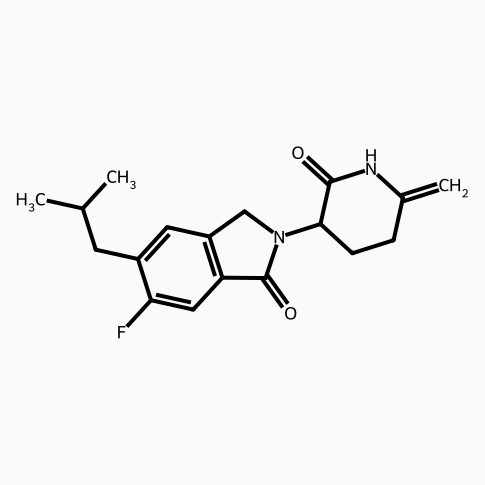 C=C1CCC(N2Cc3cc(CC(C)C)c(F)cc3C2=O)C(=O)N1